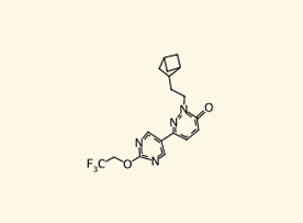 O=c1ccc(-c2cnc(OCC(F)(F)F)nc2)nn1CCC1CC2CC1C2